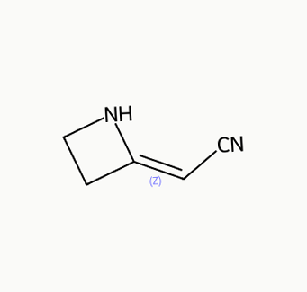 N#C/C=C1/CCN1